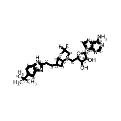 CC(C)(C)c1ccc2[nH]c(CCC3CC(N(CC4O[C@@H](n5cnc6c(N)ncnc65)[C@H](O)C4O)CC(F)(F)F)C3)nc2c1